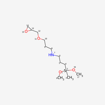 CO[Si](C)(CCCNCCCOCC1CO1)OC